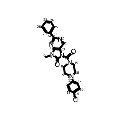 Cn1c(=O)n(C(=O)N2CCN(c3ccc(Cl)cc3)CC2)c2cnc(-c3ccccc3)nc21